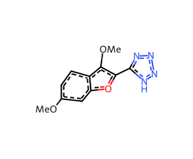 COc1ccc2c(OC)c(-c3nnn[nH]3)oc2c1